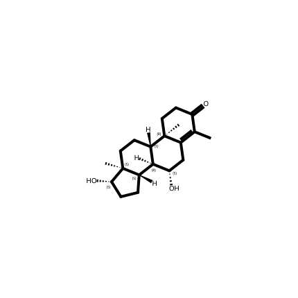 CC1=C2C[C@H](O)[C@H]3[C@@H]4CC[C@H](O)[C@@]4(C)CC[C@@H]3[C@@]2(C)CCC1=O